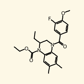 CCOC(=O)N1c2cc(C)c(C)cc2N(C(=O)c2ccc(OC)c(F)c2)CC1CC